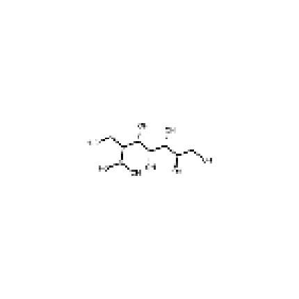 CCC([C@H](O)[C@@H](O)[C@H](O)[C@H](O)CO)N(O)O